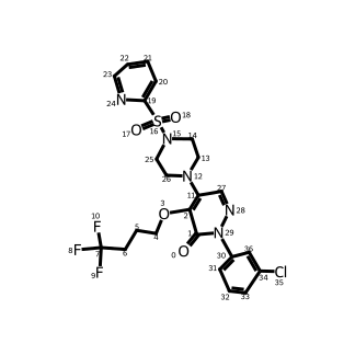 O=c1c(OCCCC(F)(F)F)c(N2CCN(S(=O)(=O)c3ccccn3)CC2)cnn1-c1cccc(Cl)c1